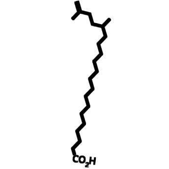 C=C(C)CCC(C)CCCCCCCCCCCCCCC(=O)O